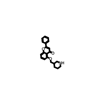 O=c1cc(-c2ccccc2)oc2cccc(OCC3CCCNC3)c12